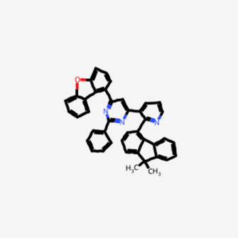 CC1(C)c2ccccc2-c2c(-c3ncccc3-c3cc(-c4cccc5oc6ccccc6c45)nc(-c4ccccc4)n3)cccc21